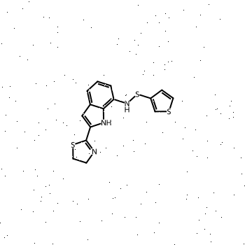 c1cc(NSc2ccsc2)c2[nH]c(C3=NCCS3)cc2c1